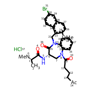 CN[C@@H](C)C(=O)N[C@H]1CN(C(=O)CCCC(C)=O)c2ccccc2N(Cc2c(OC)ccc3cc(Br)ccc23)C1=O.Cl